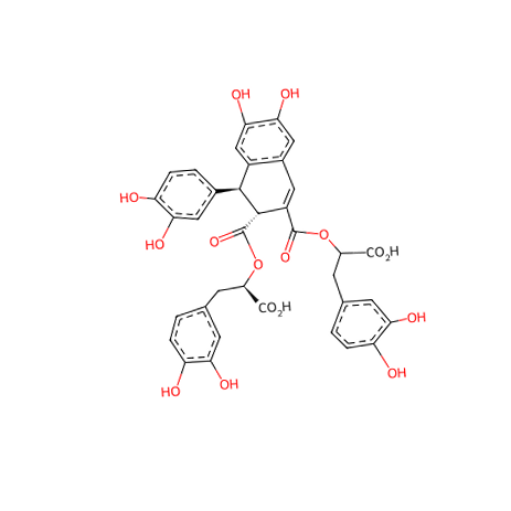 O=C(OC(Cc1ccc(O)c(O)c1)C(=O)O)C1=Cc2cc(O)c(O)cc2[C@H](c2ccc(O)c(O)c2)[C@H]1C(=O)O[C@H](Cc1ccc(O)c(O)c1)C(=O)O